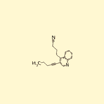 CCCC#Cc1cnc2ccccc2c1CCCC#N